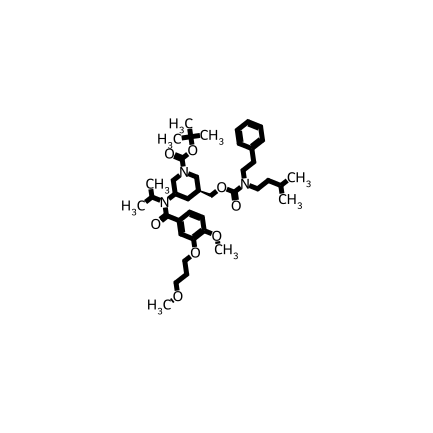 COCCCOc1cc(C(=O)N(C(C)C)C2C[C@H](COC(=O)N(CCc3ccccc3)CCC(C)C)CN(C(=O)OC(C)(C)C)C2)ccc1OC